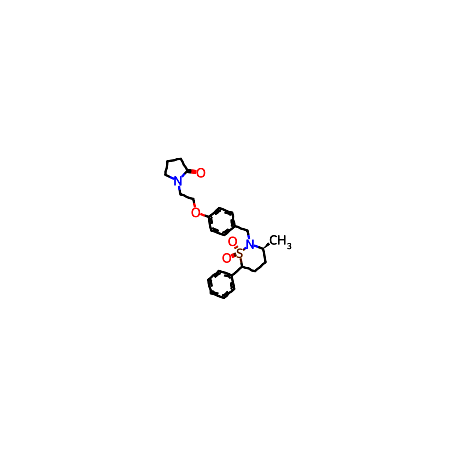 C[C@H]1CCC(c2ccccc2)S(=O)(=O)N1Cc1ccc(OCCN2CCCC2=O)cc1